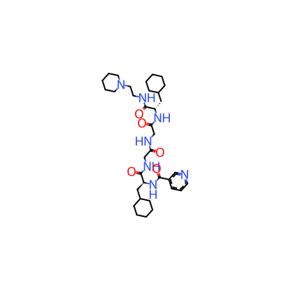 O=C(CNC(=O)[C@H](CC1CCCCC1)NC(=O)c1cccnc1)NCC(=O)N[C@@H](CC1CCCCC1)C(=O)NCCN1CCCCC1